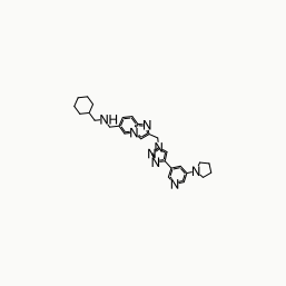 c1cc2nc(Cn3cc(-c4cncc(N5CCCC5)c4)nn3)cn2cc1CNCC1CCCCC1